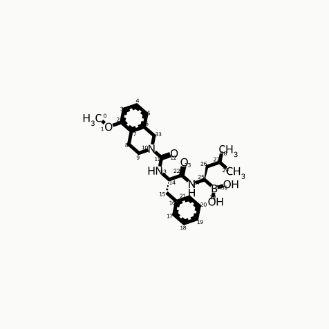 COc1cccc2c1CCN(C(=O)N[C@@H](Cc1ccccc1)C(=O)N[C@@H](CC(C)C)B(O)O)C2